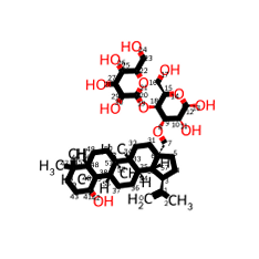 C=C(C)[C@@H]1CC[C@]2(CO[C@@H]3[C@@H](O)[C@H](O)O[C@H](CO)[C@@H]3OC3OC(CO)C(O)C(O)C3O)CC[C@]3(C)[C@H](CC[C@@H]4[C@@]5(C)C(O)CCC(C)(C)[C@@H]5CC[C@]43C)[C@@H]12